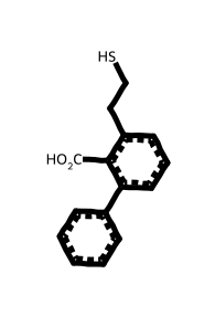 O=C(O)c1c(CCS)cccc1-c1ccccc1